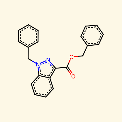 O=C(OCc1ccccc1)c1nn(Cc2ccccc2)c2ccccc12